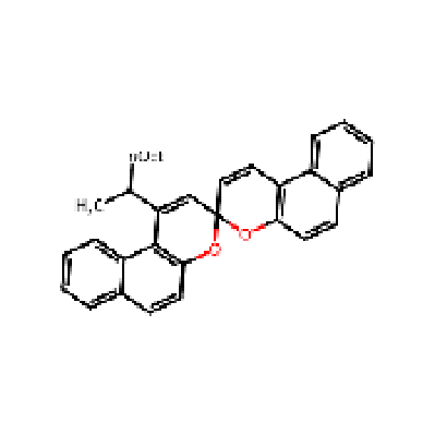 CCCCCCCCC(C)C1=CC2(C=Cc3c(ccc4ccccc34)O2)Oc2ccc3ccccc3c21